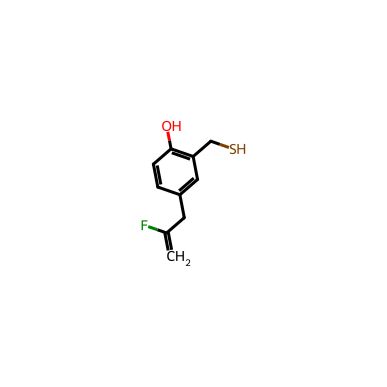 C=C(F)Cc1ccc(O)c(CS)c1